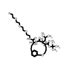 CC(C)C[C@H]1C(=O)N[C@H](C(=O)NCCOCCOCCOCCF)CCc2ccc(cc2)OCCC[C@@H]1C(=O)OC(C)(C)C